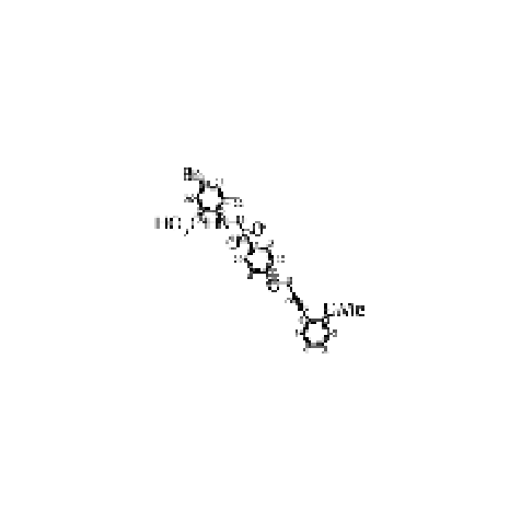 COc1ccccc1C#CCOc1ccc(S(=O)(=O)CNc2c(C)cc(Br)cc2C(=O)O)cc1